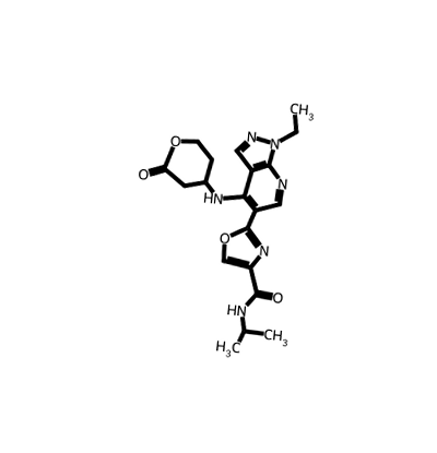 CCn1ncc2c(NC3CCOC(=O)C3)c(-c3nc(C(=O)NC(C)C)co3)cnc21